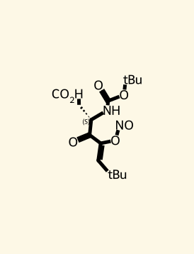 CC(C)(C)C=C(ON=O)C(=O)[C@H](CC(=O)O)NC(=O)OC(C)(C)C